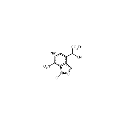 CCOC(=O)C(C#N)c1ccc([N+](=O)[O-])c2c1no[n+]2[O-].[Na+]